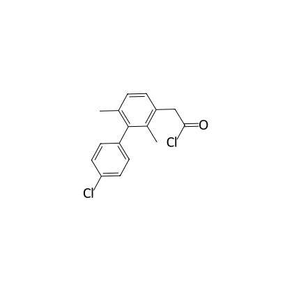 Cc1ccc(CC(=O)Cl)c(C)c1-c1ccc(Cl)cc1